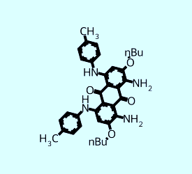 CCCCOc1cc(Nc2ccc(C)cc2)c2c(c1N)C(=O)c1c(N)c(OCCCC)cc(Nc3ccc(C)cc3)c1C2=O